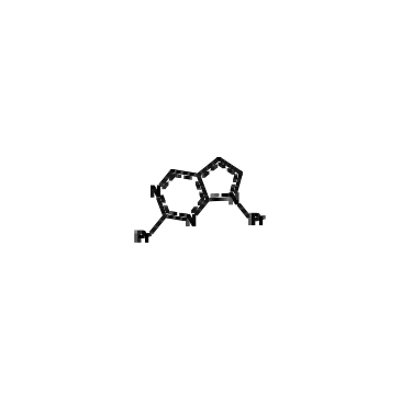 CC(C)c1ncc2ccn(C(C)C)c2n1